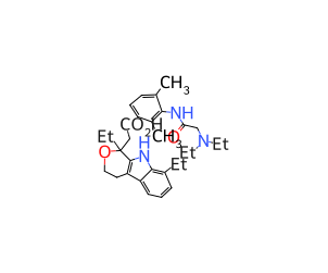 CCN(CC)CC(=O)Nc1c(C)cccc1C.CCc1cccc2c3c([nH]c12)C(CC)(CC(=O)O)OCC3